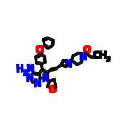 C=CC(=O)N1CCC(N2CC(C#Cc3c(-c4ccc(Oc5ccccc5)cc4)c4c(N)ncnc4n3[C@H]3CCOC3)C2)CC1